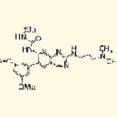 COc1cc(OC)cc(-c2cc3cnc(NCCCN(C)C)nc3nc2NC(=O)NC(C)(C)C)c1